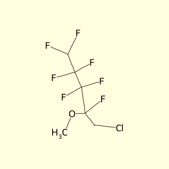 COC(F)(CCl)C(F)(F)C(F)(F)C(F)F